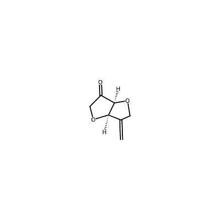 C=C1CO[C@@H]2C(=O)CO[C@H]12